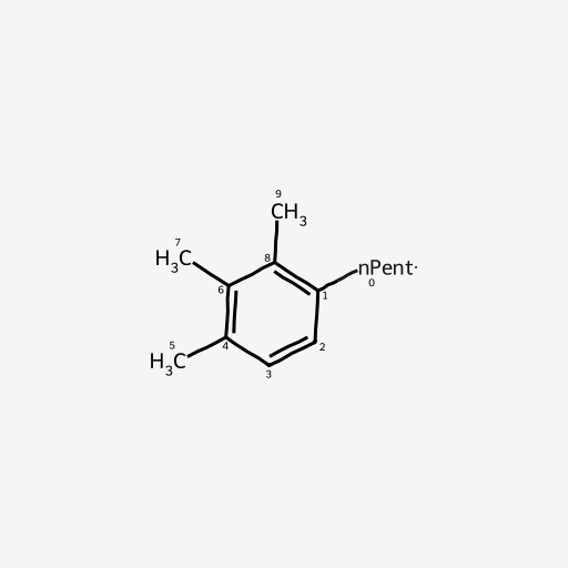 CCCC[CH]c1ccc(C)c(C)c1C